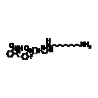 NCCCCCCCCCCc1nc2ccc(N3CCN(C(=O)c4cc(Cc5n[nH]c(=O)c6ccccc56)ccc4F)CC3)nc2[nH]1